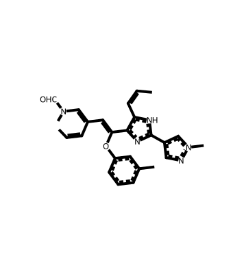 C\C=C/C(/C=C(\Oc1cccc(C)c1)c1nc(-c2cnn(C)c2)[nH]c1/C=C\C)=C\N(C)C=O